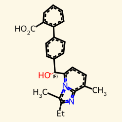 CCc1nc2c(C)ccc([C@H](O)c3ccc(-c4ccccc4C(=O)O)cc3)n2c1C